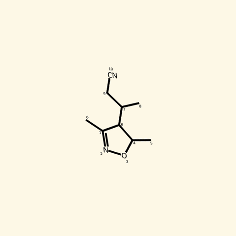 CC1=NOC(C)C1C(C)CC#N